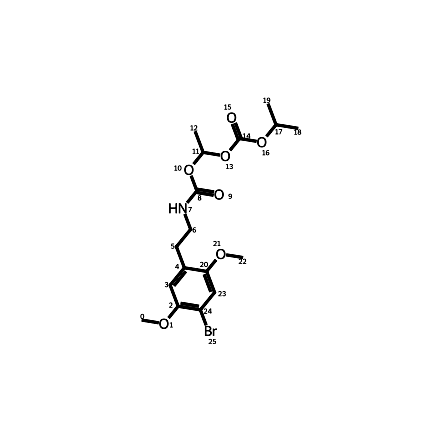 COc1cc(CCNC(=O)OC(C)OC(=O)OC(C)C)c(OC)cc1Br